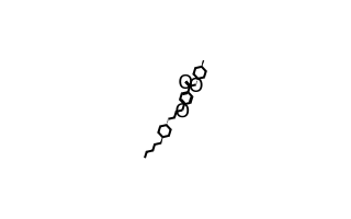 CCCCC[C@H]1CC[C@H](CCCOc2ccc(C(=O)O[C@H]3CC[C@H](C)CC3)cc2)CC1